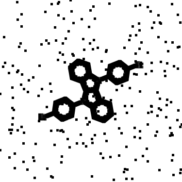 CCc1ccc(-n2c3ccccc3c3c2c2ccccc2n3-c2ccc(CC)cc2)cc1